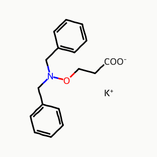 O=C([O-])CCON(Cc1ccccc1)Cc1ccccc1.[K+]